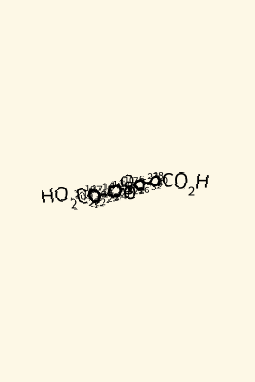 O=C(O)c1ccc(-c2ccc(S(=O)(=O)c3ccc(-c4ccc(C(=O)O)cc4)cc3)cc2)cc1